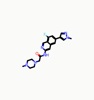 CN1CCN(CC(=O)Nc2cc3cc(-c4cnn(C)c4)cc(F)c3cn2)CC1